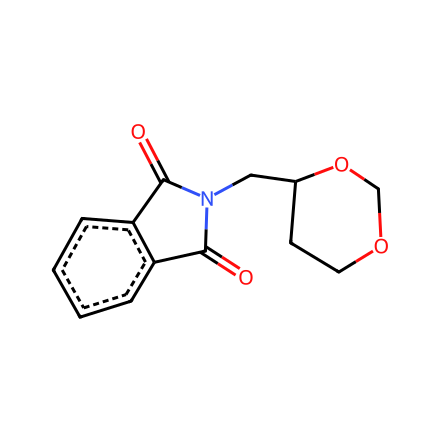 O=C1c2ccccc2C(=O)N1CC1CCOCO1